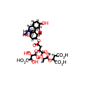 CC(OC(=O)C(CC(=O)OC1=CC[C@@]2(O)[C@H]3Cc4ccc(O)c5c4[C@@]2(CCN3C)[C@H]1O5)OC(=O)[C@H](O)[C@@H](O)C(=O)O)C(=O)OC(CC(=O)O)C(=O)O